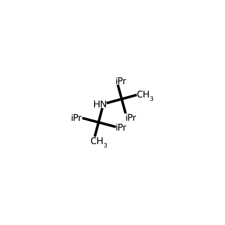 CC(C)C(C)(NC(C)(C(C)C)C(C)C)C(C)C